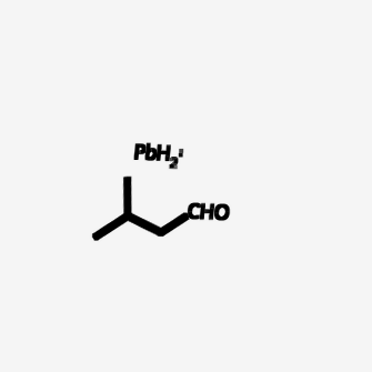 CC(C)CC=O.[PbH2]